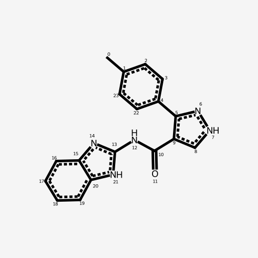 Cc1ccc(-c2n[nH]cc2C(=O)Nc2nc3ccccc3[nH]2)cc1